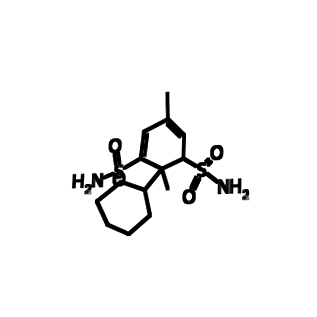 CC1=CC(S(N)(=O)=O)C(C)(C2CCCCC2)C(S(N)(=O)=O)=C1